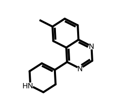 Cc1ccc2ncnc(C3=CCNCC3)c2c1